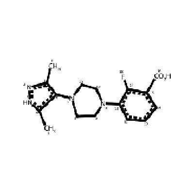 Cc1n[nH]c(C)c1N1CCN(c2cccc(C(=O)O)c2F)CC1